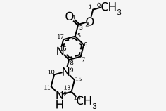 CCOC(=O)c1ccc(N2CCNC(C)C2)nc1